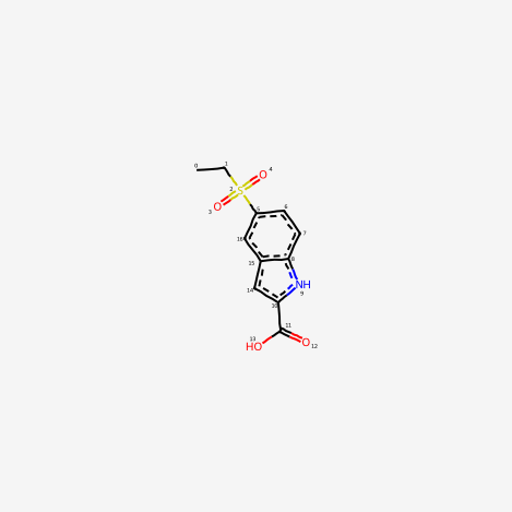 CCS(=O)(=O)c1ccc2[nH]c(C(=O)O)cc2c1